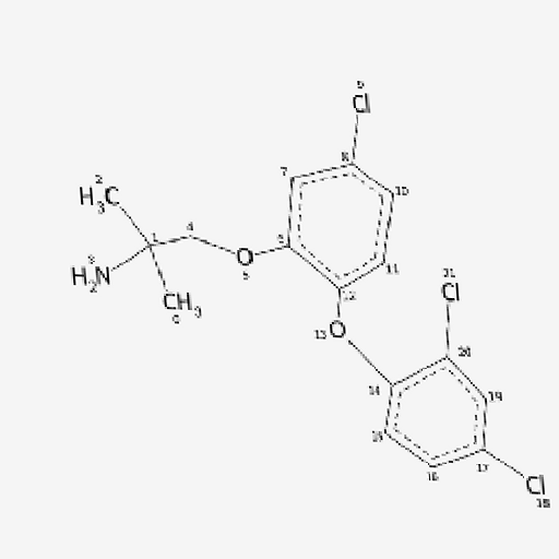 CC(C)(N)COc1cc(Cl)ccc1Oc1ccc(Cl)cc1Cl